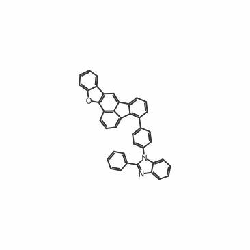 c1ccc(-c2nc3ccccc3n2-c2ccc(-c3cccc4c3-c3cccc5c3c-4cc3c4ccccc4oc53)cc2)cc1